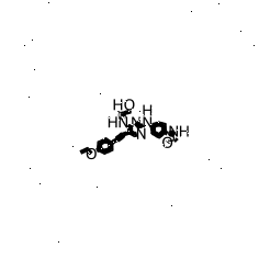 CCOc1ccc(C#Cc2cnc(Nc3ccc(S(C)(=N)=O)cc3)nc2N[C@H](C)CO)cc1